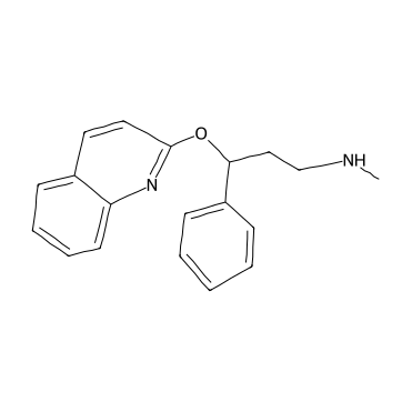 CNCCC(Oc1ccc2ccccc2n1)c1ccccc1